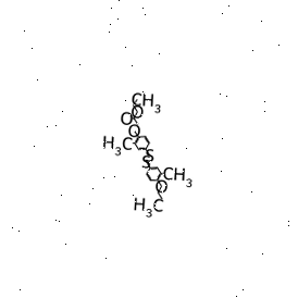 CCCOc1ccc(SSc2ccc(OCC(=O)OCC)c(C)c2)cc1C